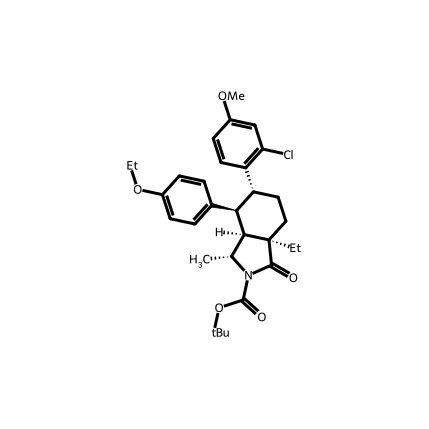 CCOc1ccc([C@@H]2[C@@H]3[C@@H](C)N(C(=O)OC(C)(C)C)C(=O)[C@]3(CC)CC[C@H]2c2ccc(OC)cc2Cl)cc1